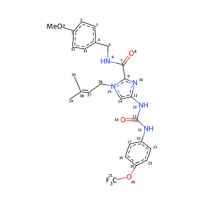 COc1ccc(CNC(=O)c2nc(NC(=O)Nc3ccc(OC(F)(F)F)cc3)cn2CC=C(C)C)cc1